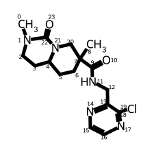 CN1CCC2CCC(C)(C(=O)NCc3nccnc3Cl)CN2C1=O